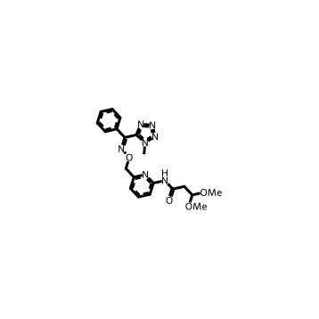 COC(CC(=O)Nc1cccc(CO/N=C(/c2ccccc2)c2nnnn2C)n1)OC